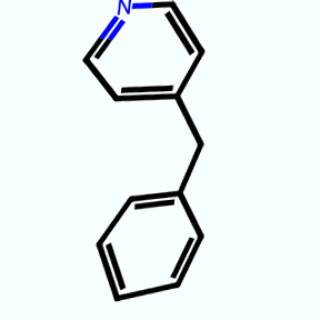 [c]1cc(Cc2ccccc2)ccn1